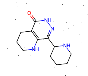 O=c1[nH]nc(C2CCCCN2)c2c1CCCN2